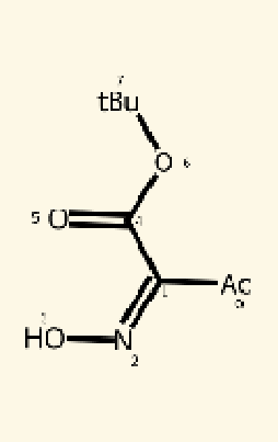 CC(=O)/C(=N/O)C(=O)OC(C)(C)C